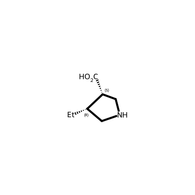 CC[C@H]1CNC[C@H]1C(=O)O